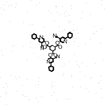 N#Cc1cc(-c2ccccc2)ncc1OC(=O)C1CC(C(=O)Oc2cnc(-c3ccccc3)cc2C#N)CC(C(=O)Oc2cnc(-c3ccccc3)cc2C#N)C1